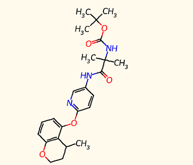 CC1CCOc2cccc(Oc3ccc(NC(=O)C(C)(C)NC(=O)OC(C)(C)C)cn3)c21